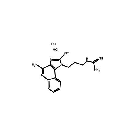 CCCc1nc2c(N)nc3ccccc3c2n1CCCNC(=N)N.Cl.Cl